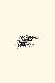 COc1cc(N)c(Cl)cc1C(=O)N[C@@H]1CCN(CCO)C[C@@H]1OC